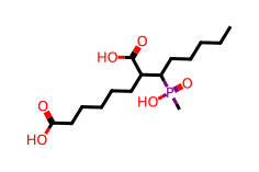 CCCCCC(C(CCCCCC(=O)O)C(=O)O)P(C)(=O)O